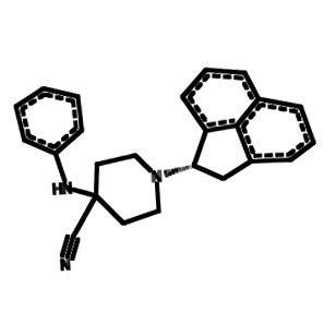 N#CC1(Nc2ccccc2)CCN([C@H]2Cc3cccc4cccc2c34)CC1